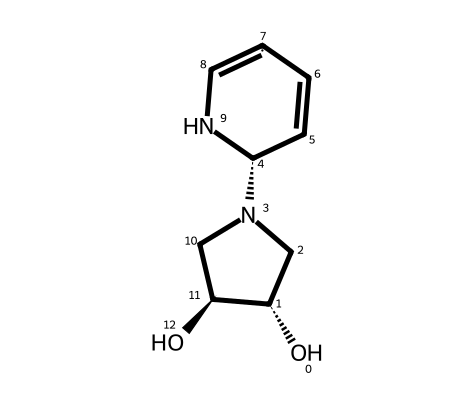 O[C@H]1CN([C@H]2C=C[C]=CN2)C[C@@H]1O